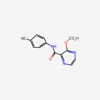 N#Cc1ccc(NC(=O)c2nccnc2OC(=O)O)cc1